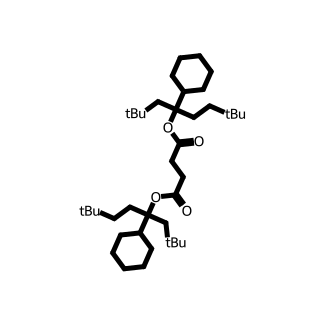 CC(C)(C)CCC(CC(C)(C)C)(OC(=O)CCC(=O)OC(CCC(C)(C)C)(CC(C)(C)C)C1CCCCC1)C1CCCCC1